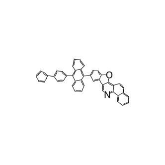 c1ccc(-c2ccc(-c3c4ccccc4c(-c4ccc5oc6c(cnc7c8ccccc8ccc76)c5c4)c4ccccc34)cc2)cc1